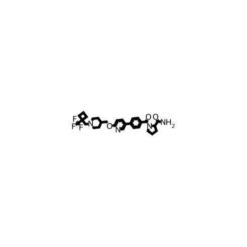 NC(=O)C1CCCN1C(=O)c1ccc(-c2ccc(OCC3CCN(CC4(C(F)(F)F)CCC4)CC3)nc2)cc1